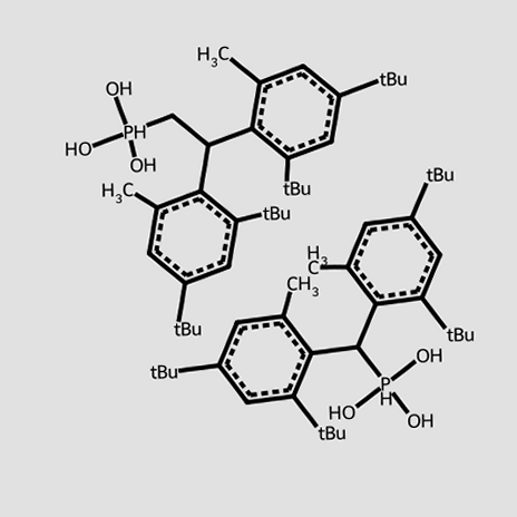 Cc1cc(C(C)(C)C)cc(C(C)(C)C)c1C(C[PH](O)(O)O)c1c(C)cc(C(C)(C)C)cc1C(C)(C)C.Cc1cc(C(C)(C)C)cc(C(C)(C)C)c1C(c1c(C)cc(C(C)(C)C)cc1C(C)(C)C)[PH](O)(O)O